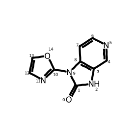 O=c1[nH]c2cnccc2n1-c1ncco1